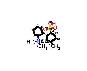 C[N+](C)(C)c1ccccc1.Cc1ccc(S(=O)(=O)O)cc1